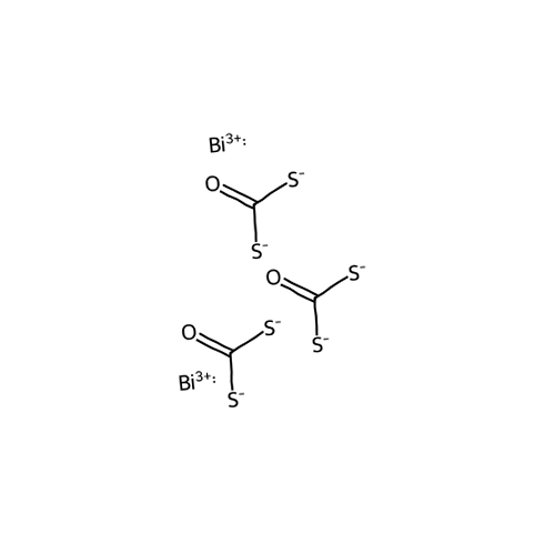 O=C([S-])[S-].O=C([S-])[S-].O=C([S-])[S-].[Bi+3].[Bi+3]